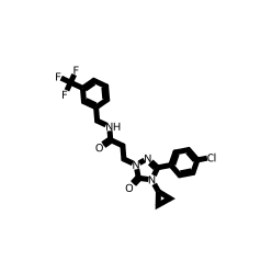 O=C(CCn1nc(-c2ccc(Cl)cc2)n(C2CC2)c1=O)NCc1cccc(C(F)(F)F)c1